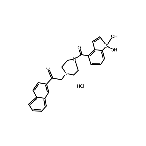 Cl.O=C(CN1CCN(C(=O)c2cccc3c2C=CS3(O)O)CC1)c1ccc2ccccc2c1